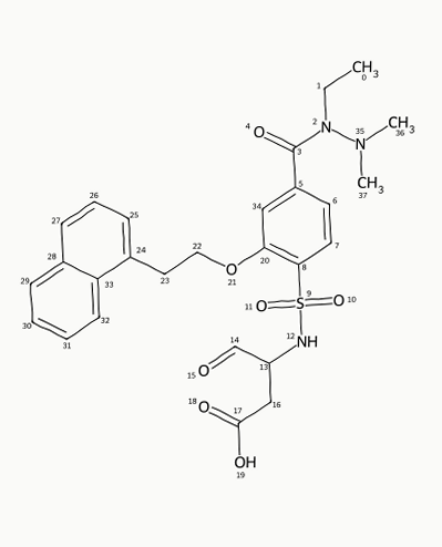 CCN(C(=O)c1ccc(S(=O)(=O)NC(C=O)CC(=O)O)c(OCCc2cccc3ccccc23)c1)N(C)C